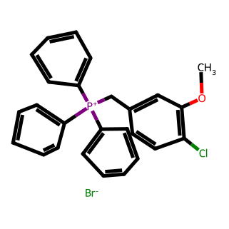 COc1cc(C[P+](c2ccccc2)(c2ccccc2)c2ccccc2)ccc1Cl.[Br-]